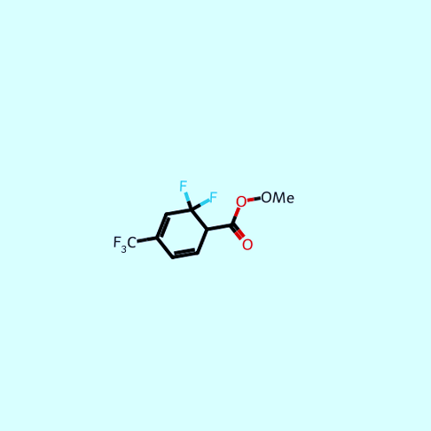 COOC(=O)C1C=CC(C(F)(F)F)=CC1(F)F